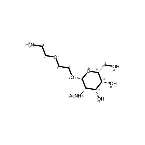 CC(=O)N[C@@H]1[C@H](OCCOCCN)O[C@H](CO)[C@H](O)[C@@H]1O